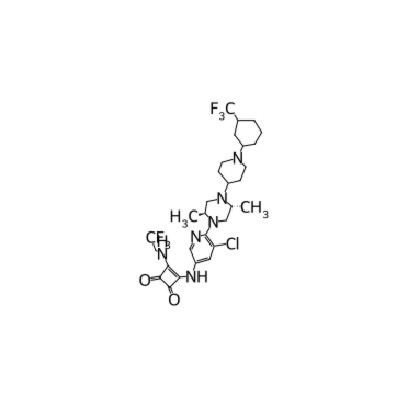 C[C@@H]1CN(c2ncc(Nc3c(NCC(F)(F)F)c(=O)c3=O)cc2Cl)[C@@H](C)CN1C1CCN(C2CCCC(C(F)(F)F)C2)CC1